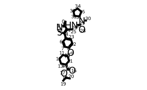 Cc1nsc(-c2ccc(O[C@H]3CCC[C@H](C(=O)OC(C)C)C3)cc2)c1CNC(=O)N(C)C1CCCC1